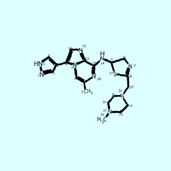 Cc1cn2c(-c3cn[nH]c3)cnc2c(NC2CN=C(CN3CCN(C)CC3)S2)n1